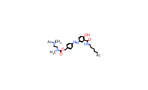 CC(=O)CCCCCNC(=O)c1cc(/N=N/c2ccc(COC(=O)N(C)CCN(C)C(C)=O)cc2)ccc1O